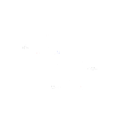 COC(=O)C1CN(C(=O)OC(C)(C)C)CCC1OC